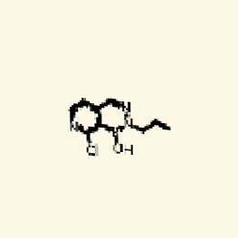 CCCN1N=Cc2ccnc(Cl)c2B1O